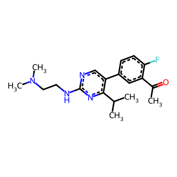 CC(=O)c1cc(-c2cnc(NCCN(C)C)nc2C(C)C)ccc1F